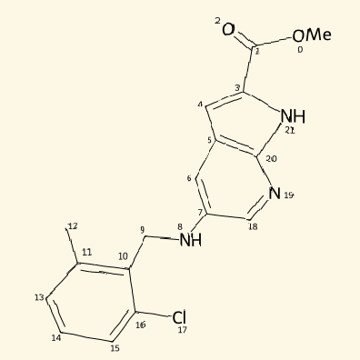 COC(=O)c1cc2cc(NCc3c(C)cccc3Cl)cnc2[nH]1